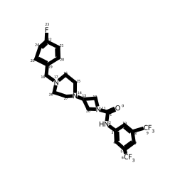 O=C(Nc1cc(C(F)(F)F)cc(C(F)(F)F)c1)N1CC(N2CCN(Cc3ccc(F)cc3)CC2)C1